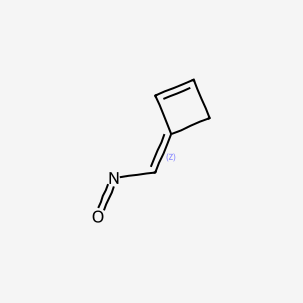 O=N/C=C1\C=CC1